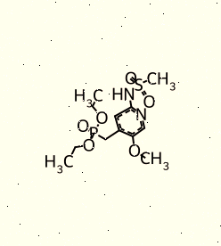 CCOP(=O)(Cc1cc(NS(C)(=O)=O)ncc1OC)OCC